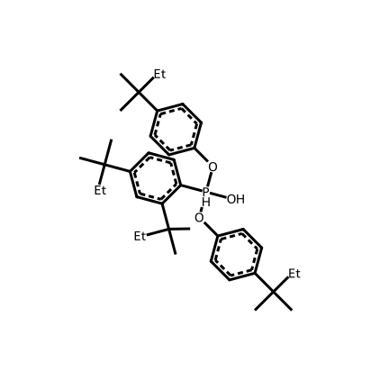 CCC(C)(C)c1ccc(O[PH](O)(Oc2ccc(C(C)(C)CC)cc2)c2ccc(C(C)(C)CC)cc2C(C)(C)CC)cc1